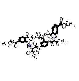 COC(=O)c1ccc(C(=O)OC)c(/N=N/C(C(C)=O)C(=O)Nc2ccc(NC(=O)C(/N=N/c3cc(C(=O)OC)ccc3C(=O)OC)C(C)=O)c(CI)c2)c1